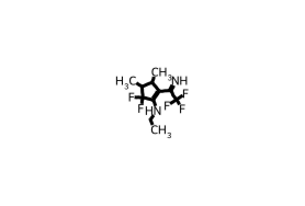 CCNC1=C(C(=N)C(F)(F)F)C(C)C(C)C1(F)F